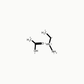 CC(=O)O.CCNN